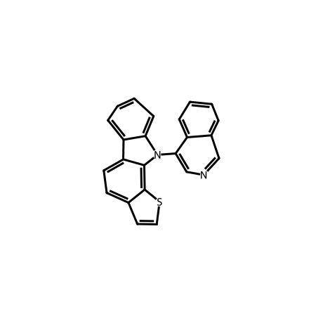 c1ccc2c(-n3c4ccccc4c4ccc5ccsc5c43)cncc2c1